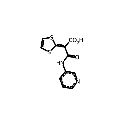 O=C(O)C(C(=O)Nc1cccnc1)=C1SC=CS1